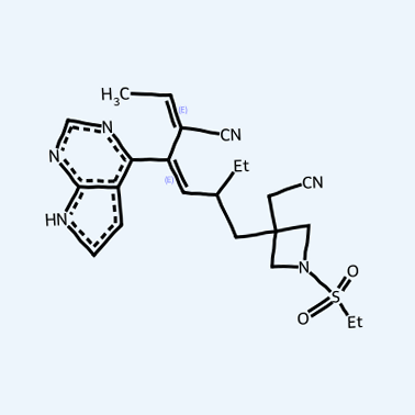 C/C=C(C#N)\C(=C/C(CC)CC1(CC#N)CN(S(=O)(=O)CC)C1)c1ncnc2[nH]ccc12